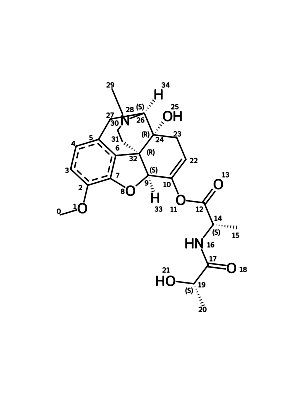 COc1ccc2c3c1O[C@@H]1C(OC(=O)[C@H](C)NC(=O)[C@H](C)O)=CC[C@]4(O)[C@H](C2)N(C)CC[C@@]314